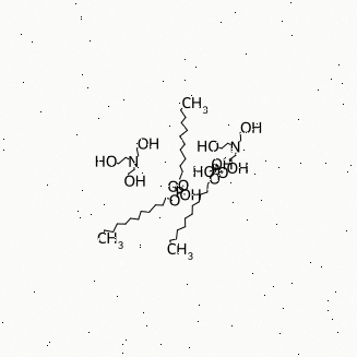 CCCCCCCCCCCCOP(=O)(O)O.CCCCCCCCCCCCOP(=O)(O)OCCCCCCCCCCCC.OCCN(CCO)CCO.OCCN(CCO)CCO